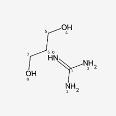 N=C(N)N.OCCCO